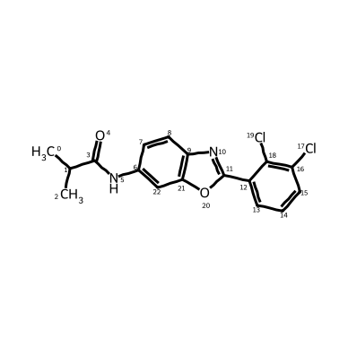 CC(C)C(=O)Nc1ccc2nc(-c3cccc(Cl)c3Cl)oc2c1